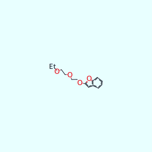 CCOCCOCCOc1cc2ccccc2o1